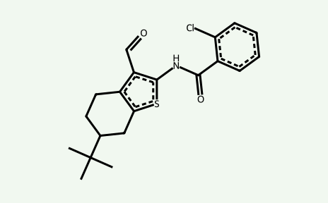 CC(C)(C)C1CCc2c(sc(NC(=O)c3ccccc3Cl)c2C=O)C1